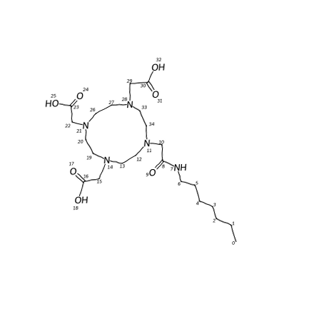 CCCCCCCNC(=O)CN1CCN(CC(=O)O)CCN(CC(=O)O)CCN(CC(=O)O)CC1